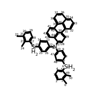 Cc1cccc([SiH2]c2ccc(N(c3ccc([SiH2]c4cccc(C)c4C)cc3)c3ccc4c5cccc6cccc(c7cccc3c74)c65)cc2)c1C